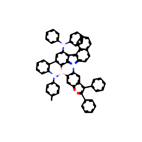 CB1c2cc3oc(-c4ccccc4)c(-c4ccccc4)c3cc2-n2c3ccc4ccccc4c3c3c(N(c4ccccc4)c4ccccc4)cc(-c4ccccc4Nc4ccc(C(C)(C)C)cc4)c1c32